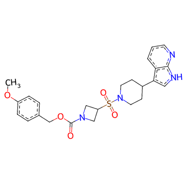 COc1ccc(COC(=O)N2CC(S(=O)(=O)N3CCC(c4c[nH]c5ncccc45)CC3)C2)cc1